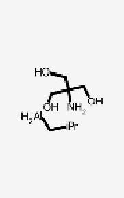 CC(C)[CH2][AlH2].NC(CO)(CO)CO